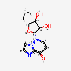 CC[C@H]1O[C@@H](n2ccc(=O)c3nccn32)[C@H](O)[C@@H]1O